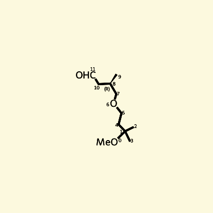 COC(C)(C)CCOC[C@H](C)CC=O